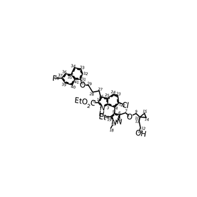 CCOC(=O)c1[nH]c2c(-c3c(COCC4(CCO)CC4)nn(C)c3CC)c(Cl)ccc2c1CCCOc1cccc2cc(F)ccc12